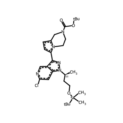 C[C@@H](CCO[Si](C)(C)C(C)(C)C)n1nc(-c2ccc3n2CCN(C(=O)OC(C)(C)C)C3)c2cnc(Cl)cc21